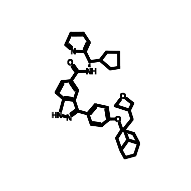 O=C(N[C@H](c1ccccn1)C1CCCC1)c1ccc2[nH]nc(-c3ccc(OC4CC5CCC(C4)C5CCC4COC4)cc3)c2c1